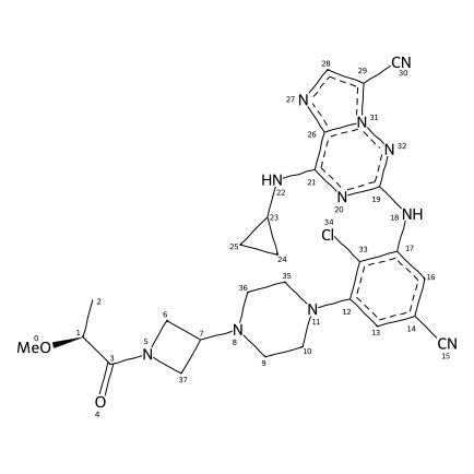 CO[C@@H](C)C(=O)N1CC(N2CCN(c3cc(C#N)cc(Nc4nc(NC5CC5)c5ncc(C#N)n5n4)c3Cl)CC2)C1